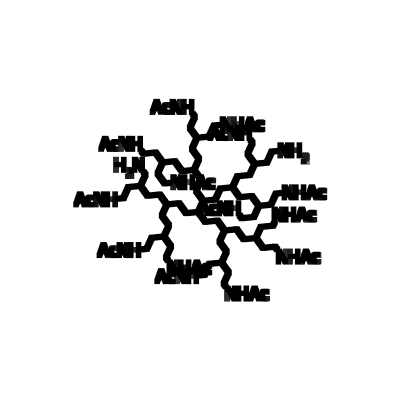 CC(=O)NCCC(CN)CCC(CCC(CCNC(C)=O)CCNC(C)=O)CCC(CCC(CCC(CCNC(C)=O)CCNC(C)=O)CCC(CCNC(C)=O)CCNC(C)=O)C(CCC(CCC(CCN)CCNC(C)=O)CCC(CCNC(C)=O)CCNC(C)=O)CCC(CCC(CCNC(C)=O)CCNC(C)=O)CCC(CCNC(C)=O)CCNC(C)=O